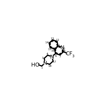 OCN1CCN(c2cc(C(F)(F)F)nc3ccccc23)CC1